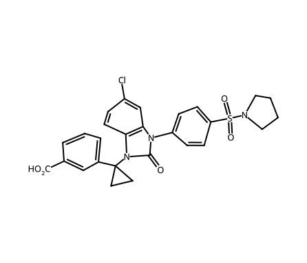 O=C(O)c1cccc(C2(n3c(=O)n(-c4ccc(S(=O)(=O)N5CCCC5)cc4)c4cc(Cl)ccc43)CC2)c1